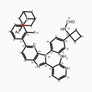 CC(=O)N1CC2CC(C1)N2c1cccc(-c2ccc3nc(-c4cccnc4N)n(-c4ccc(C5(NC=O)CCC5)cc4)c3n2)c1F